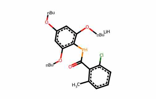 CCCCOc1cc(OCCCC)c(PC(=O)c2c(C)cccc2Cl)c(OCCCC)c1.[LiH]